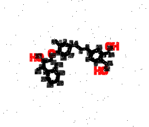 Cc1cc(CCCc2ccc(CO)c(CO)c2)ccc1OCC(O)C(C)c1ccccc1C